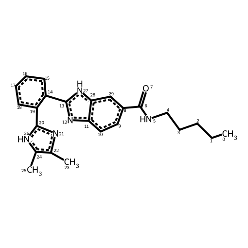 CCCCCNC(=O)c1ccc2nc(-c3ccccc3-c3nc(C)c(C)[nH]3)[nH]c2c1